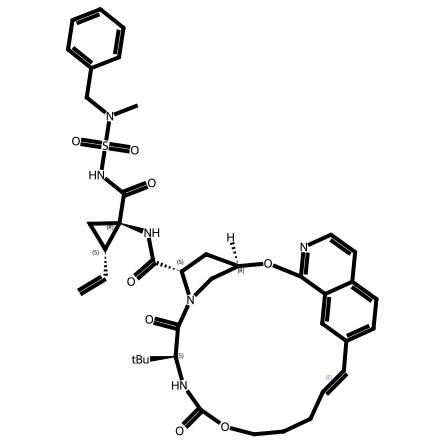 C=C[C@@H]1C[C@]1(NC(=O)[C@@H]1C[C@@H]2CN1C(=O)[C@H](C(C)(C)C)NC(=O)OCCC/C=C/c1ccc3ccnc(c3c1)O2)C(=O)NS(=O)(=O)N(C)Cc1ccccc1